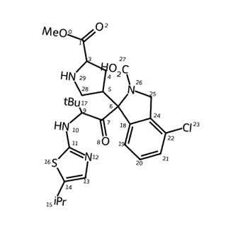 COC(=O)C1CC(C2(C(=O)C(Nc3ncc(C(C)C)s3)C(C)(C)C)c3cccc(Cl)c3CN2C(=O)O)CN1